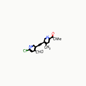 COC(=O)c1cc(C)c(C#Cc2cnc(Cl)cc2C=O)cn1